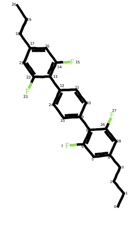 CCCCc1cc(F)c(-c2ccc(-c3c(F)cc(CCC)cc3F)cc2)c(F)c1